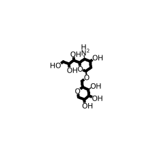 N[C@@H]1C(O)C[C@@H](OCC2OCC(O)C(O)[C@H]2O)OC1C(O)C(O)CO